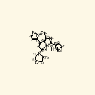 CCn1nccc1-c1cc(N2CCOC[C@H]2C)nn2c(-c3ccn[nH]3)nc(C)c12